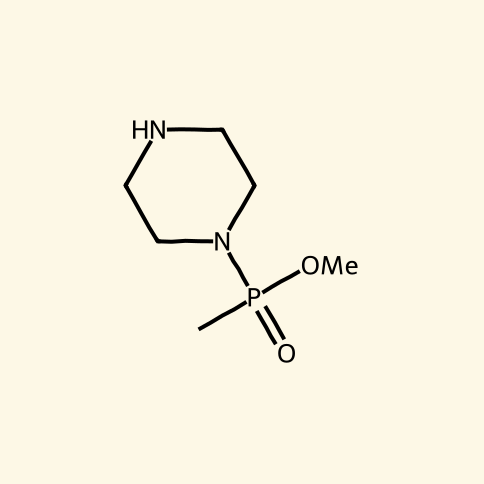 COP(C)(=O)N1CCNCC1